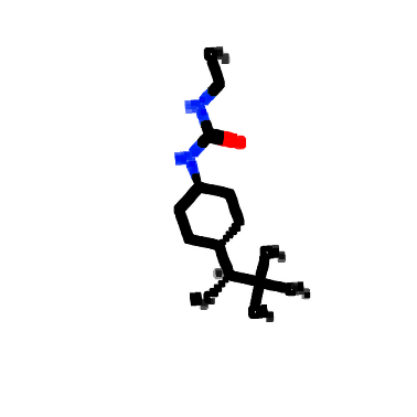 CCNC(=O)N[C@H]1CC[C@H]([C@@H](C)C(C)(C)C)CC1